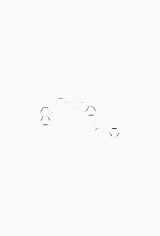 COc1ccc(CNC(=O)OCc2ccccc2)cc1OCC(O)CN1CCN(Cc2ccc3ccccc3n2)CC1